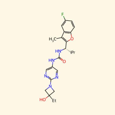 CCC1(O)CN(c2ncc(NC(=O)N[C@H](c3oc4ccc(F)cc4c3C)C(C)C)cn2)C1